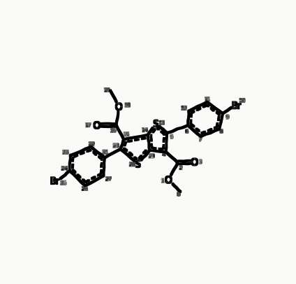 COC(=O)c1c(-c2ccc(Br)cc2)sc2c(C(=O)OC)c(-c3ccc(Br)cc3)sc12